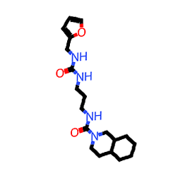 O=C(NCCCNC(=O)N1CCC2CCCCC2C1)NCc1ccco1